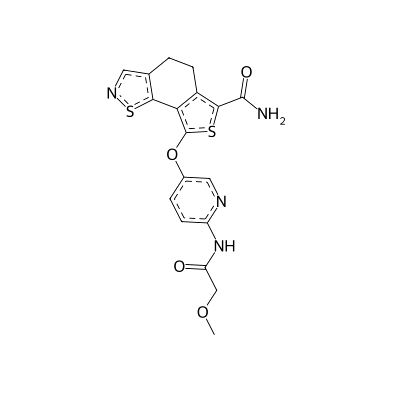 COCC(=O)Nc1ccc(Oc2sc(C(N)=O)c3c2-c2sncc2CC3)cn1